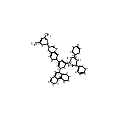 CC1=CC(C2C=NC3=CC(C4=CC(C5C=C6C=CCCC6=C6CCCCC65)CC(C5NC(C6=CC=CCC6)NC(C6CC=CCC6)N5)=C4)CC=C3C2)CC(C)=C1